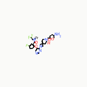 CC(C)N(CC(F)F)C(=O)c1cc(F)ccc1Oc1cncnc1N1CC2(CCN(C[C@@]3(O)CC[C@@H](N)CO3)CC2)C1